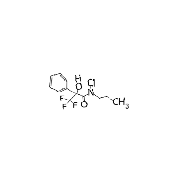 CCCN(Cl)C(=O)C(O)(c1ccccc1)C(F)(F)F